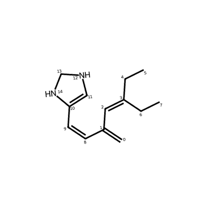 C=C(C=C(CC)CC)/C=C\C1=CNCN1